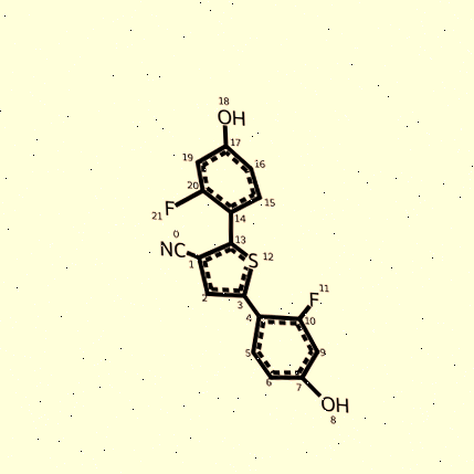 N#Cc1cc(-c2ccc(O)cc2F)sc1-c1ccc(O)cc1F